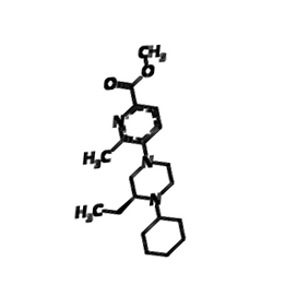 CC[C@H]1CN(c2ccc(C(=O)OC)nc2C)CCN1C1CCCCC1